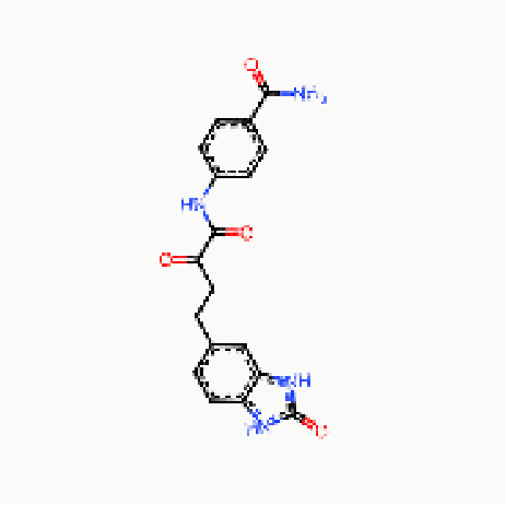 NC(=O)c1ccc(NC(=O)C(=O)CCc2ccc3[nH]c(=O)[nH]c3c2)cc1